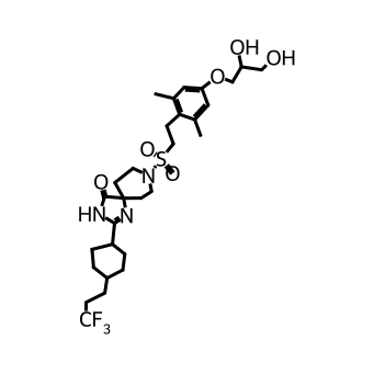 Cc1cc(OCC(O)CO)cc(C)c1CCS(=O)(=O)N1CCC2(CC1)N=C(C1CCC(CCC(F)(F)F)CC1)NC2=O